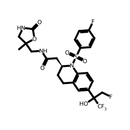 CC1(CNC(=O)C[C@@H]2CCc3cc(C(O)(CF)C(F)(F)F)ccc3N2S(=O)(=O)c2ccc(F)cc2)CNC(=O)O1